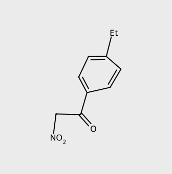 CCc1ccc(C(=O)C[N+](=O)[O-])cc1